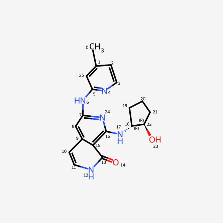 Cc1ccnc(Nc2cc3cc[nH]c(=O)c3c(N[C@@H]3CCC[C@H]3O)n2)c1